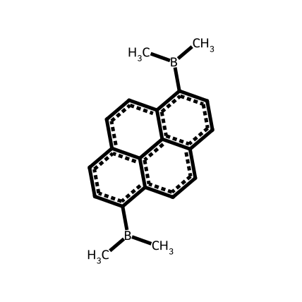 CB(C)c1ccc2ccc3c(B(C)C)ccc4ccc1c2c43